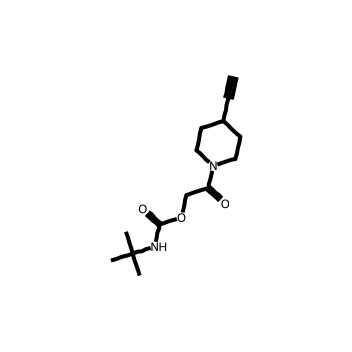 C#CC1CCN(C(=O)COC(=O)NC(C)(C)C)CC1